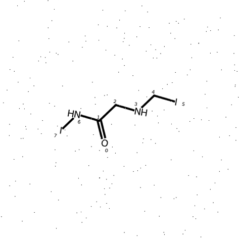 O=C(CNCI)NI